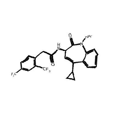 CCCN1C(=O)C(NC(=O)Cc2ccc(C(F)(F)F)cc2C(F)(F)F)C=C(C2CC2)c2ccccc21